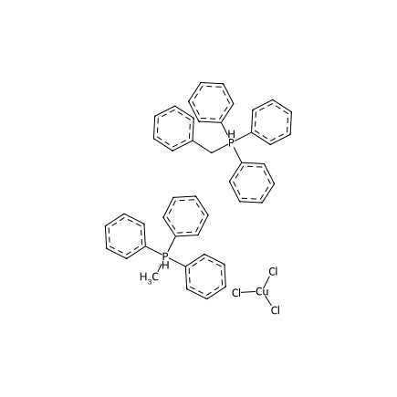 C[PH](c1ccccc1)(c1ccccc1)c1ccccc1.[Cl][Cu]([Cl])[Cl].c1ccc(C[PH](c2ccccc2)(c2ccccc2)c2ccccc2)cc1